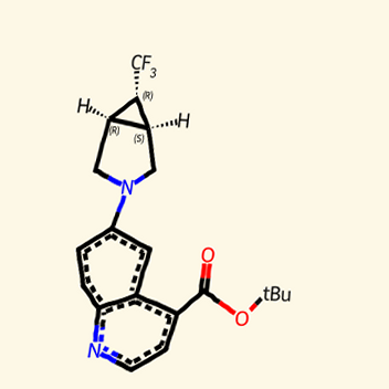 CC(C)(C)OC(=O)c1ccnc2ccc(N3C[C@@H]4[C@H](C3)[C@H]4C(F)(F)F)cc12